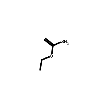 BC(=C)OCC